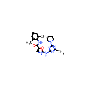 Cc1nc(Nc2ncc(C(=O)Nc3c(C)cccc3C)o2)nc(N2CCCC2)n1